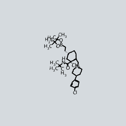 CC(C)(C)NC(=O)[C@@]1(C)C[C@H](CCB2OC(C)(C)C(C)(C)O2)CCC1CN1CCC(c2ccc(Cl)cc2)CC1